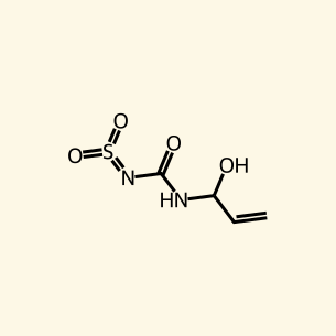 C=CC(O)NC(=O)N=S(=O)=O